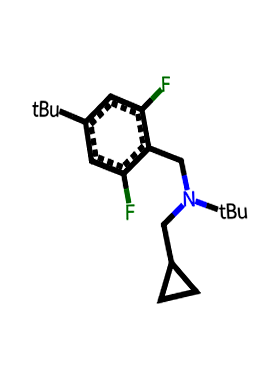 CC(C)(C)c1cc(F)c(CN(CC2CC2)C(C)(C)C)c(F)c1